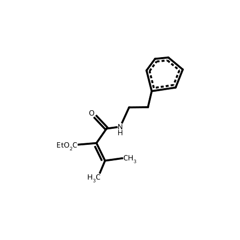 CCOC(=O)C(C(=O)NCCc1ccccc1)=C(C)C